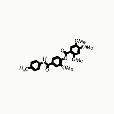 COc1cc(OC)c(C(=O)Oc2ccc(C(=O)Nc3ccc(C)cc3)cc2OC)cc1OC